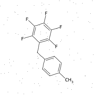 Cc1ccc(Cc2c(F)c(F)c(F)c(F)c2F)cc1